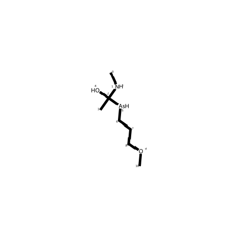 CNC(C)(O)[AsH]CCCOC